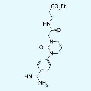 CCOC(=O)CCNC(=O)CN1CCCN(c2ccc(C(=N)N)cc2)C1=O